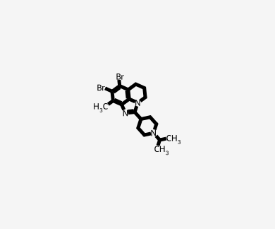 Cc1c(Br)c(Br)c2c3c1nc(C1CCN(C(C)C)CC1)n3CCC2